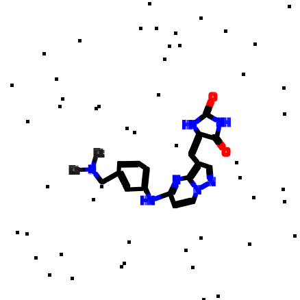 CCN(CC)Cc1cccc(Nc2ccn3ncc(/C=C4/NC(=O)NC4=O)c3n2)c1